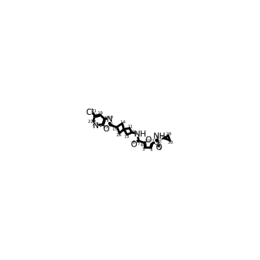 N=[S@@](=O)(c1ccc(C(=O)NC2CC3(C2)CC(c2nc4cc(Cl)cnc4o2)C3)o1)C1CC1